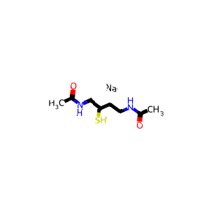 CC(=O)NCCC(S)CNC(C)=O.[Na]